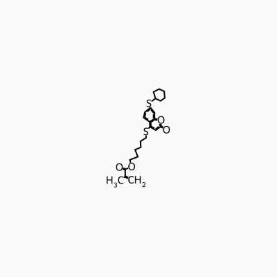 C=C(C)C(=O)OCCCCCCSc1cc(=O)oc2cc(SC3CCCCC3)ccc12